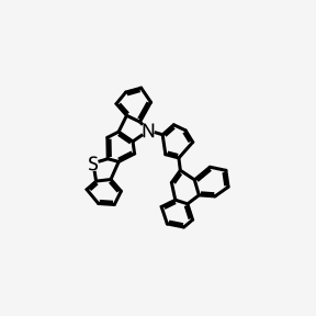 c1cc(-c2cc3ccccc3c3ccccc23)cc(-n2c3ccccc3c3cc4sc5ccccc5c4cc32)c1